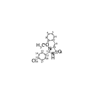 COc1ccccc1/C=C1\N=C(c2ccc(Cl)cc2)NC1=O